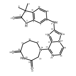 CC1(C)C(=O)Nc2cc(Nc3nc4c(N5CCCC(=O)NC(=O)C5)nccn4n3)ccc21